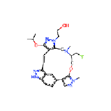 CC(C)Oc1nn(CCO)c2c1/C=C/c1n[nH]c3ccc(cc13)-c1cnn(C)c1OCC(CF)N(C)C2